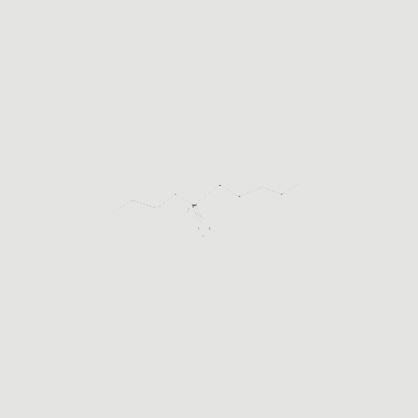 CC[CH]CC(=O)CCCCC